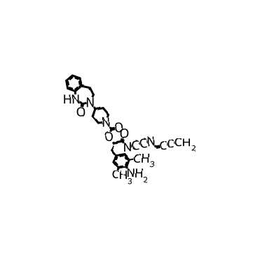 C=C=C=CN=C=C=NC(=O)[C@@H](Cc1cc(C)c(N)c(C)c1)OC(=O)N1CCC(N2CCc3ccccc3NC2=O)CC1